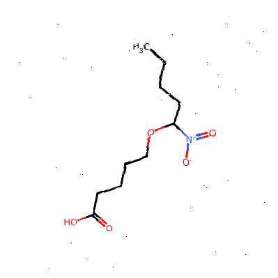 CCCCC(OCCCCC(=O)O)[N+](=O)[O-]